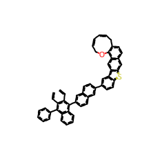 C=Cc1c(C=C)c(-c2ccc3cc(-c4ccc5sc6cc7ccc8c(c7cc6c5c4)OC/C=C\C=C/C8)ccc3c2)c2ccccc2c1-c1ccccc1